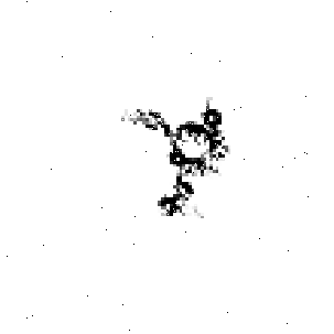 Cc1cnccc1-c1nccc(COc2ccc3cc2C[C@H](C(=O)O)Oc2ncnc4sc(-c5ccc(F)cc5)c(c24)-c2ccc(c(Cl)c2C)CN(CCN2CCN(C)CC2)C3)n1